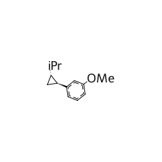 COc1cccc([C@H]2C[C@@H]2C(C)C)c1